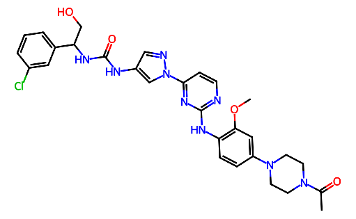 COc1cc(N2CCN(C(C)=O)CC2)ccc1Nc1nccc(-n2cc(NC(=O)NC(CO)c3cccc(Cl)c3)cn2)n1